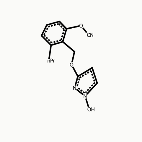 CCCc1cccc(OC#N)c1COc1ccn(O)n1